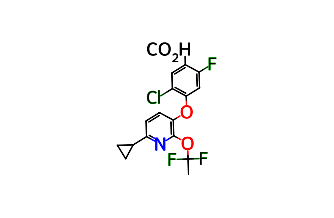 CC(F)(F)Oc1nc(C2CC2)ccc1Oc1cc(F)c(C(=O)O)cc1Cl